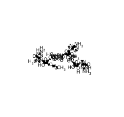 COCCOC[C@H]1[C@@H](O)[C@H](n2c[n+](C)c3c(=O)[nH]c(N)nc32)O[C@@H]1COP(=O)(O)OP(=O)(O)OP(=O)(O)OC[C@H]1O[C@@H](n2cnc3c(N)ncnc32)[C@H](OC)[C@@H]1OP(=O)(O)OC[C@H]1O[C@@H](n2cnc3c(=O)[nH]c(N)nc32)[C@H](O)[C@@H]1O